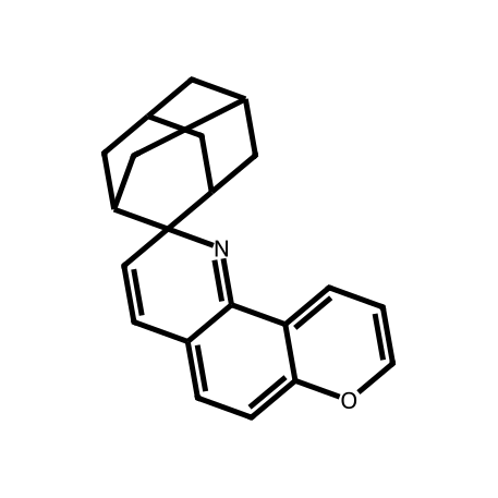 C1=COc2ccc3c(c2=C1)=NC1(C=C3)C2CC3CC(C2)CC1C3